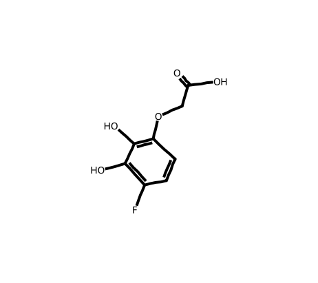 O=C(O)COc1ccc(F)c(O)c1O